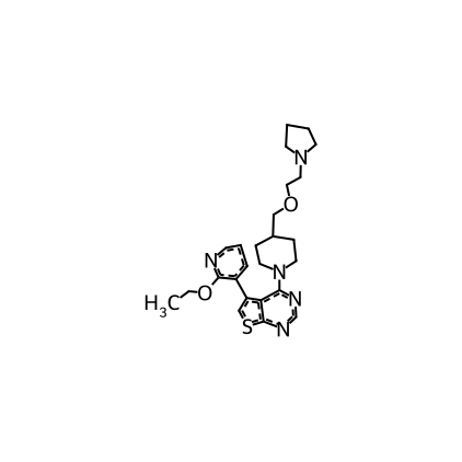 CCOc1ncccc1-c1csc2ncnc(N3CCC(COCCN4CCCC4)CC3)c12